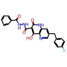 O=C(NNC(=O)c1c(O)c2ncc(Cc3ccc(F)cc3)cc2[nH]c1=O)c1ccccc1